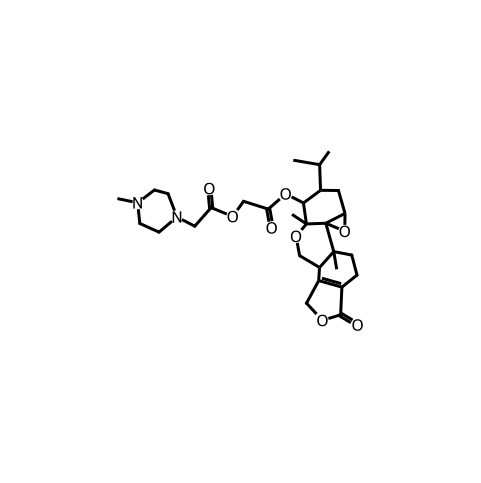 CC(C)C1CC2OC23C2(C)CCC4=C(COC4=O)C2COC3(C)C1OC(=O)COC(=O)CN1CCN(C)CC1